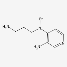 CCN(CCCN)c1ccncc1N